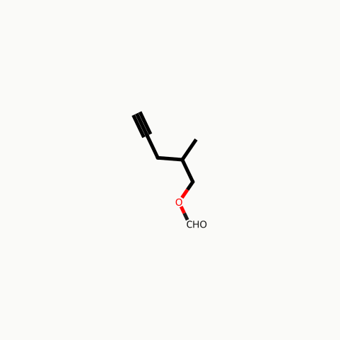 C#CCC(C)COC=O